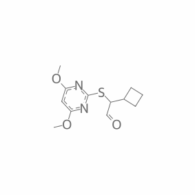 COc1cc(OC)nc(SC(C=O)C2CCC2)n1